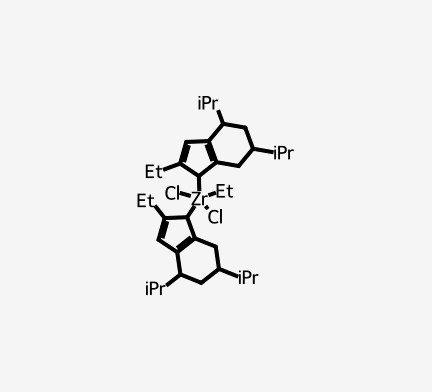 CCC1=CC2=C(CC(C(C)C)CC2C(C)C)[CH]1[Zr]([Cl])([Cl])([CH2]C)[CH]1C(CC)=CC2=C1CC(C(C)C)CC2C(C)C